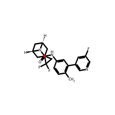 Cc1ccc(NC(=O)N2[C@H]3C[C@H]2CC2(C3)CC2(F)F)cc1-c1cncc(F)c1